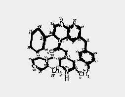 C[C@@H]1CN(CC(=O)N2c3cc(Cc4ccc(F)cc4)cnc3OC[C@@H]2C2CCCCC2)[C@@H](CN2CCOC[C@H]2C)CN1